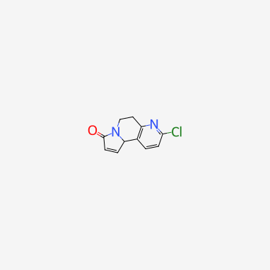 O=C1C=CC2c3ccc(Cl)nc3CCN12